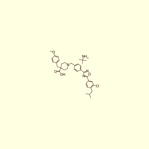 CC(C)(C)N.COc1ccc(CC2(C(=O)O)CCN(Cc3ccc(-c4noc(-c5ccc(CC(C)C)c(Cl)c5)n4)cc3)CC2)cc1